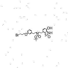 CC(C)(C)OC(=O)N(CCc1cccc(OCCCBr)c1)CCc1ccc(O)c2[nH]c(=O)sc12